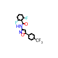 O=C(Nc1cc(-c2ccc(C(F)(F)F)cc2)on1)c1c(F)cccc1F